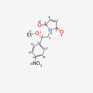 CCOC(CN1C(=O)C=CC1=O)c1ccc([N+](=O)[O-])cc1